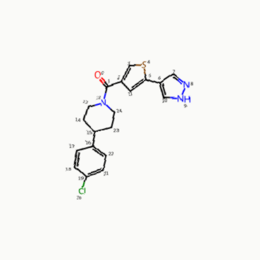 O=C(c1csc(-c2cn[nH]c2)c1)N1CCC(c2ccc(Cl)cc2)CC1